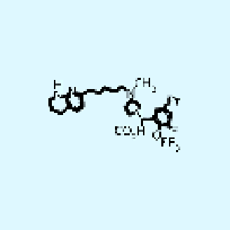 CC(C)c1cc(F)c(OC(F)(F)F)c([C@@H](C(=O)O)N2CC[C@@H](N(C)CCCCCc3ccc4c(n3)NCCC4)C2)c1